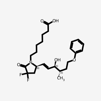 C[C@@H](CCOc1ccccc1)[C@H](O)C=C[C@H]1CC(F)(F)C(=O)N1CCCCCCC(=O)O